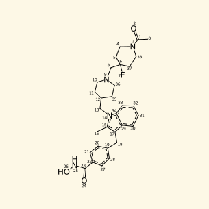 CC(=O)N1CCC(F)(CN2CCC(Cn3c(C)c(Cc4ccc(C(=O)NO)cc4)c4ccccc43)CC2)CC1